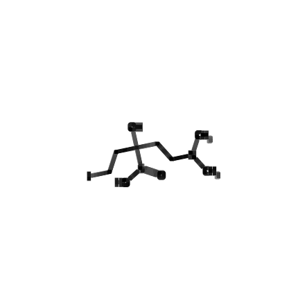 CN(C)CCC(O)(CCI)S(=O)O